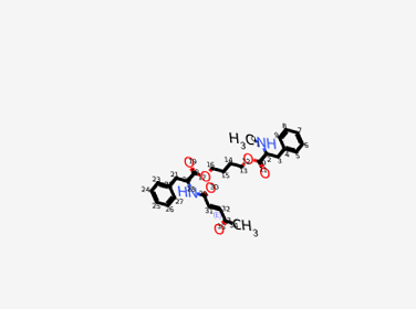 CNC(Cc1ccccc1)C(=O)OCCCCOC(=O)C(Cc1ccccc1)NC(=O)/C=C/C(C)=O